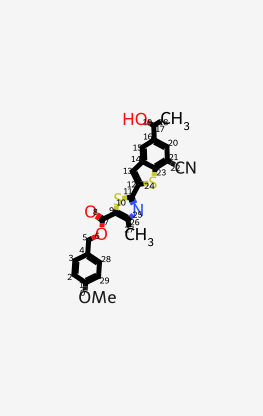 COc1ccc(COC(=O)c2sc(-c3cc4cc(C(C)O)cc(C#N)c4s3)nc2C)cc1